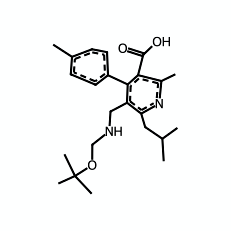 Cc1ccc(-c2c(CNCOC(C)(C)C)c(CC(C)C)nc(C)c2C(=O)O)cc1